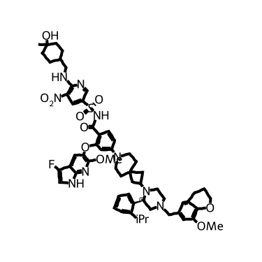 COc1cc(CN2CCN(C3CC4(CCN(c5ccc(C(=O)NS(=O)(=O)c6cnc(NCC7CCC(C)(O)CC7)c([N+](=O)[O-])c6)c(Oc6cc7c(F)c[nH]c7nc6OC)c5)CC4)C3)[C@H](c3ccccc3C(C)C)C2)cc2c1OCCC2